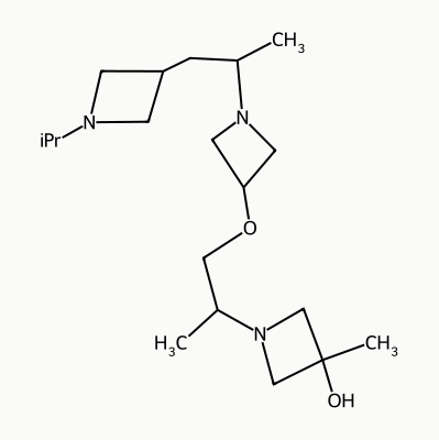 CC(C)N1CC(CC(C)N2CC(OCC(C)N3CC(C)(O)C3)C2)C1